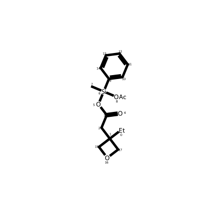 CCC1(CC(=O)O[Si](C)(OC(C)=O)c2ccccc2)COC1